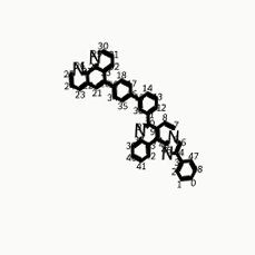 c1ccc(-c2cn3ccc4c(-c5cccc(-c6ccc(-c7cc8cccnc8c8ncccc78)cc6)c5)nc5ccccc5c4c3n2)cc1